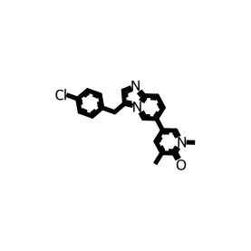 Cc1cc(-c2ccc3ncc(Cc4ccc(Cl)cc4)n3c2)cn(C)c1=O